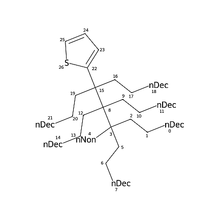 CCCCCCCCCCCCC(CCCCCCCCC)(CCCCCCCCCCCC)C(CCCCCCCCCCCC)(CCCCCCCCCCCC)C(CCCCCCCCCCCC)(CCCCCCCCCCCC)c1cccs1